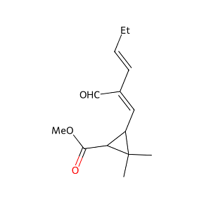 CC/C=C/C(C=O)=C/C1C(C(=O)OC)C1(C)C